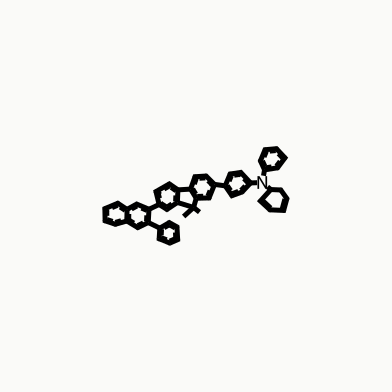 CC1(C)c2cc(-c3ccc(N(c4ccccc4)C4C=CC=CC4)cc3)ccc2-c2ccc(-c3cc4ccccc4cc3-c3ccccc3)cc21